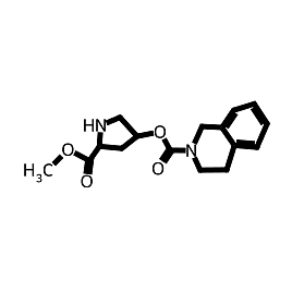 COC(=O)C1CC(OC(=O)N2CCc3ccccc3C2)CN1